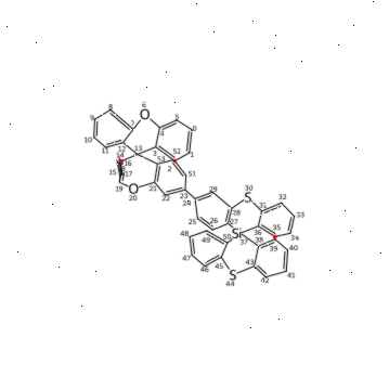 c1ccc2c(c1)Oc1ccccc1C21c2ccccc2Oc2cc(-c3ccc4c(c3)Sc3ccccc3[Si]43c4ccccc4Sc4ccccc43)ccc21